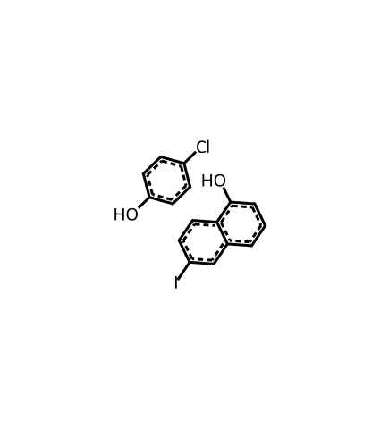 Oc1ccc(Cl)cc1.Oc1cccc2cc(I)ccc12